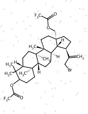 C=C(CBr)[C@@H]1CC[C@]2(COC(=O)C(F)(F)F)CC[C@]3(C)[C@H](CC[C@@H]4[C@@]5(C)CCC(OC(=O)C(F)(F)F)C(C)(C)[C@@H]5CC[C@]43C)[C@@H]12